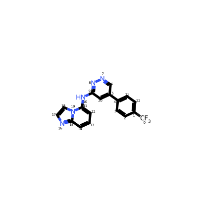 FC(F)(F)c1ccc(-c2cnnc(Nc3cccc4nccn34)c2)cc1